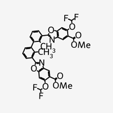 COC(=O)c1cc2nc(-c3cccc(-c4cccc(-c5nc6cc(C(=O)OC)c(OC(F)F)cc6o5)c4C)c3C)oc2cc1OC(F)F